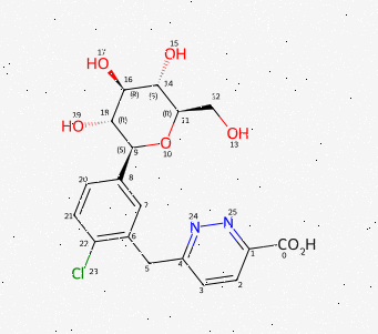 O=C(O)c1ccc(Cc2cc([C@@H]3O[C@H](CO)[C@@H](O)[C@H](O)[C@H]3O)ccc2Cl)nn1